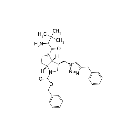 CC(C)(C)[C@H](N)C(=O)N1CC[C@@H]2[C@H]1[C@@H](Cn1cc(Cc3ccccc3)nn1)CN2C(=O)OCc1ccccc1